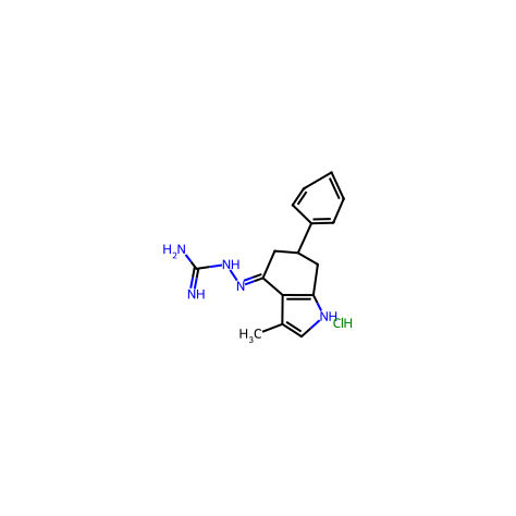 Cc1c[nH]c2c1/C(=N/NC(=N)N)CC(c1ccccc1)C2.Cl